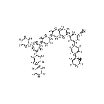 N#Cc1cc(-c2ccc(-c3ccccn3)cc2)cc(-c2ccc3ccc(-c4ccc(-c5nc(-c6ccccc6)nc(-c6ccc(-c7ccccc7)cc6)n5)cc4)cc3c2)c1